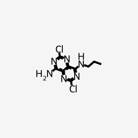 CCCNc1nc(Cl)nc2c(N)nc(Cl)nc12